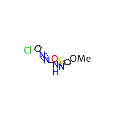 COc1ccc2nc(NC(=O)CN3CCN(c4cccc(Cl)c4)CC3)sc2c1